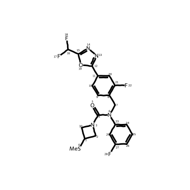 CSC1CN(C(=O)N(Cc2ccc(-c3nnc(C(F)F)o3)cc2F)c2cccc(F)c2)C1